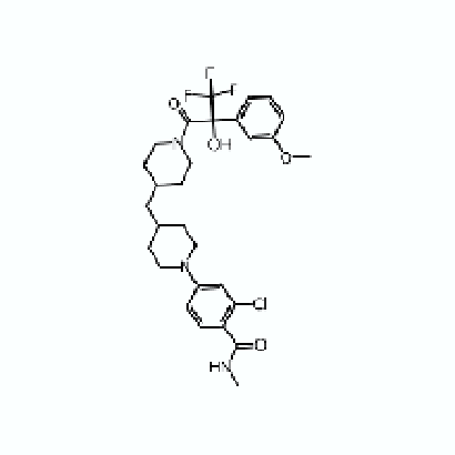 CNC(=O)c1ccc(N2CCC(CC3CCN(C(=O)C(O)(c4cccc(OC)c4)C(F)(F)F)CC3)CC2)cc1Cl